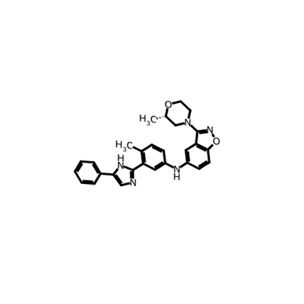 Cc1ccc(Nc2ccc3onc(N4CCO[C@@H](C)C4)c3c2)cc1-c1ncc(-c2ccccc2)[nH]1